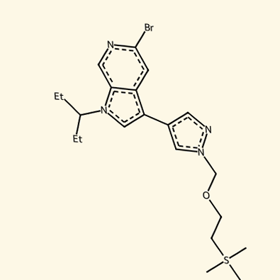 CCC(CC)n1cc(-c2cnn(COCCS(C)(C)C)c2)c2cc(Br)ncc21